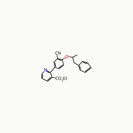 CCOC(=O)c1cccnc1-c1ccc(OC(C)Cc2ccccc2)c(C#N)c1